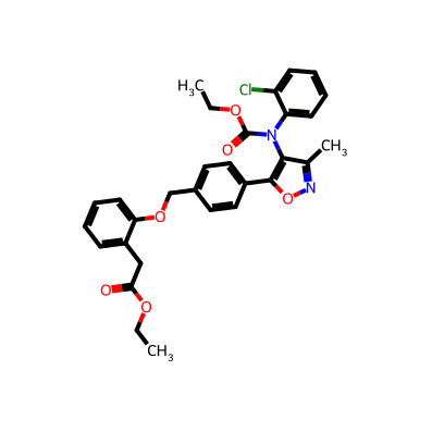 CCOC(=O)Cc1ccccc1OCc1ccc(-c2onc(C)c2N(C(=O)OCC)c2ccccc2Cl)cc1